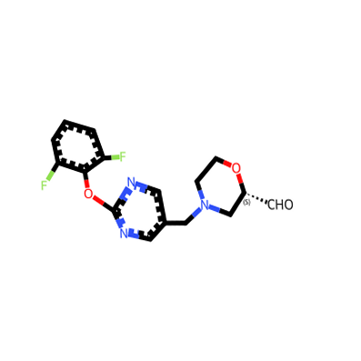 O=C[C@@H]1CN(Cc2cnc(Oc3c(F)cccc3F)nc2)CCO1